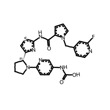 O=C(O)Nc1ccc(N2CCC[C@@H]2c2csc(NC(=O)c3cccn3Cc3ccnc(F)c3)n2)nc1